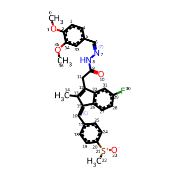 COc1ccc(/C=N\NC(=O)CC2=C(C)/C(=C/c3ccc([S+](C)[O-])cc3)c3ccc(F)cc32)cc1OC